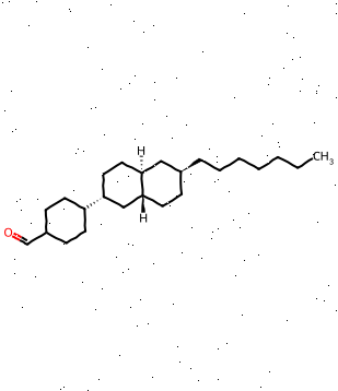 CCCCCCC[C@H]1CC[C@@H]2C[C@H](C3CCC(C=O)CC3)CC[C@H]2C1